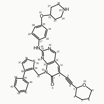 O=c1c(C#CC2CCCCO2)cc2cnc(Nc3ccc(OC4CCNCC4)cc3)nc2n1Cc1sccc1-c1ccccc1